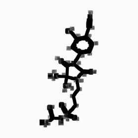 CC(=O)NS(=O)(=O)CCCN1C(=S)N(c2ccc(C#N)c(Cl)c2)C(=O)C1(C)C